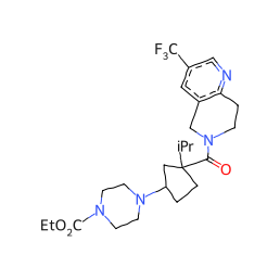 CCOC(=O)N1CCN(C2CCC(C(=O)N3CCc4ncc(C(F)(F)F)cc4C3)(C(C)C)C2)CC1